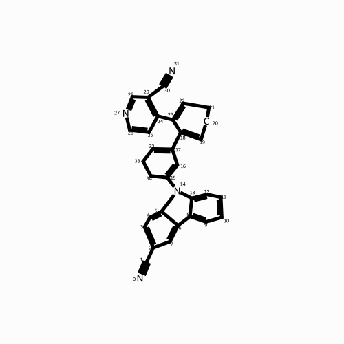 N#Cc1ccc2c(c1)c1ccccc1n2C1=CC(C2=CCCC=C2c2ccncc2C#N)=CCC1